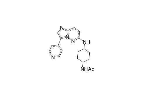 CC(=O)NC1CCC(Nc2ccc3ncc(-c4ccncc4)n3n2)CC1